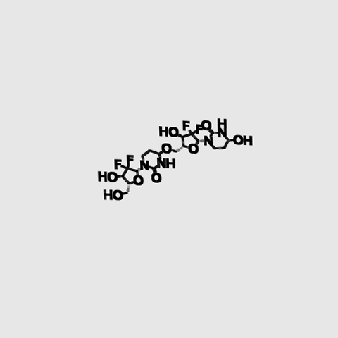 O=C1NC(O)CCN1[C@@H]1O[C@H](COC2CCN([C@@H]3O[C@H](CO)[C@@H](O)C3(F)F)C(=O)N2)[C@@H](O)C1(F)F